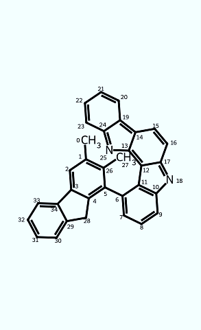 Cc1cc2c(c(-c3cccc4c3-c3c5c(ccc3=N4)=c3ccccc3=N5)c1C)Cc1ccccc1-2